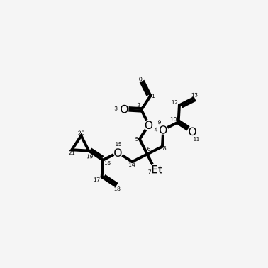 C=CC(=O)OCC(CC)(COC(=O)C=C)COC(C=C)=C1CC1